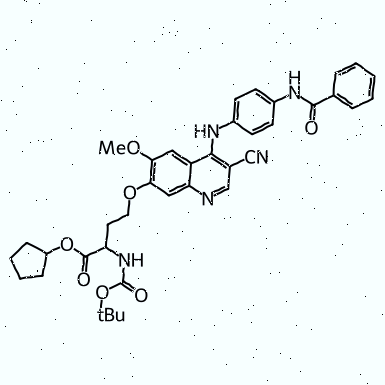 COc1cc2c(Nc3ccc(NC(=O)c4ccccc4)cc3)c(C#N)cnc2cc1OCCC(NC(=O)OC(C)(C)C)C(=O)OC1CCCC1